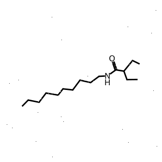 CCCCCCCCCCNC(=O)C(CC)CC